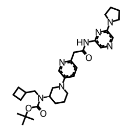 CC(C)(C)OC(=O)N(CC1CCC1)[C@@H]1CCCN(c2ccc(CC(=O)Nc3cncc(N4CCCC4)n3)nc2)C1